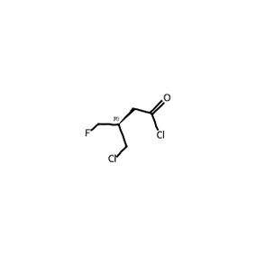 O=C(Cl)C[C@H](CF)CCl